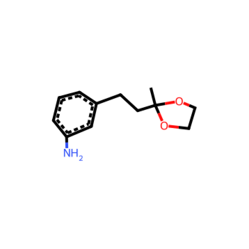 CC1(CCc2cccc(N)c2)OCCO1